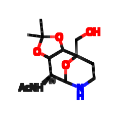 CC(=O)N[C@@H]1C2NCCC(CO)(O2)C2OC(C)(C)OC21